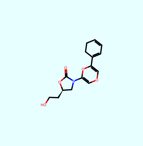 O=C1O[C@H](CCO)CN1C1=COC=C(C2=CC=CCC2)O1